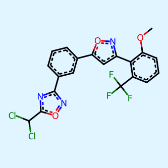 COc1cccc(C(F)(F)F)c1-c1cc(-c2cccc(-c3noc(C(Cl)Cl)n3)c2)on1